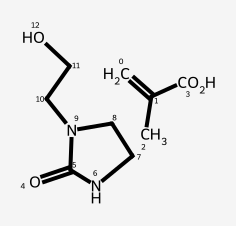 C=C(C)C(=O)O.O=C1NCCN1CCO